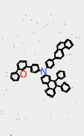 c1ccc(-c2c(-c3ccccc3)c3cc(N(c4ccc(-c5ccc6c(ccc7ccccc76)c5)cc4)c4ccc(-c5cccc6c5oc5ccccc56)cc4)ccc3c3ccccc23)cc1